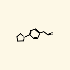 O=CCc1ccc(N2CCCC2)cc1